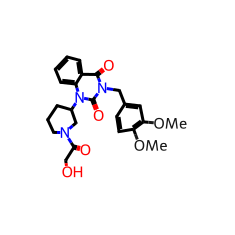 COc1ccc(Cn2c(=O)c3ccccc3n(C3CCCN(C(=O)CO)C3)c2=O)cc1OC